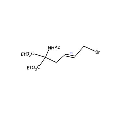 CCOC(=O)C(C/C=C/CBr)(NC(C)=O)C(=O)OCC